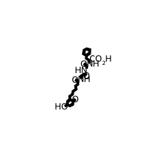 O=C(CCCCCCC1=CC(O)C=CC1=O)NCC(=O)NCC(=O)N[C@@H](Cc1ccccc1)C(=O)O